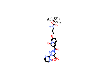 CC(C)(C)OC(=O)NCCCOc1ccc2cc(C(=O)NCC(Nc3ncccn3)C(=O)O)cc(=O)n2c1